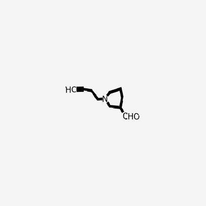 C#CCCN1CCCC(C=O)C1